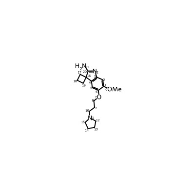 COc1cc2c(cc1OCCCN1CCCC1)C1(CCC1)C(N)=N2